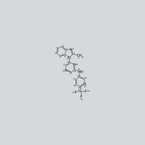 Cc1nc2ccccc2n1-c1cncc(Nc2ccc(C(F)(F)F)nc2)n1